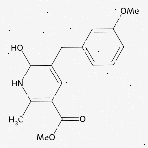 COC(=O)C1=C(C)NC(O)C(Cc2cccc(OC)c2)=C1